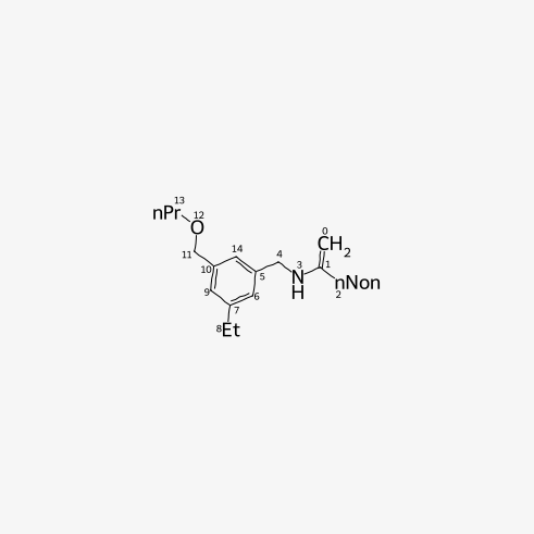 C=C(CCCCCCCCC)NCc1cc(CC)cc(COCCC)c1